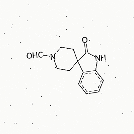 O=CN1CCC2(CC1)C(=O)Nc1ccccc12